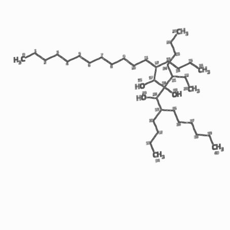 CCCCCCCCCCCCC(CCCC)C(O)C(O)(C(CC)CCCC)C(O)C(CCCC)CCCCCC